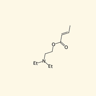 C/C=C/C(=O)OCCN(CC)CC